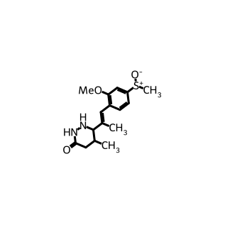 COc1cc([S+](C)[O-])ccc1/C=C(\C)C1NNC(=O)CC1C